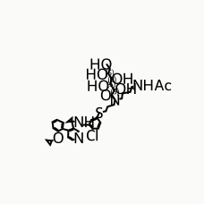 CC(=O)NCCCCN(CCCSc1ccc(Cl)c(CNC2(c3cnccc3-c3ccccc3OC3CC3)CC2)c1)C(=O)[C@@H](O)[C@@H](O)[C@H](O)[C@@H](O)CO